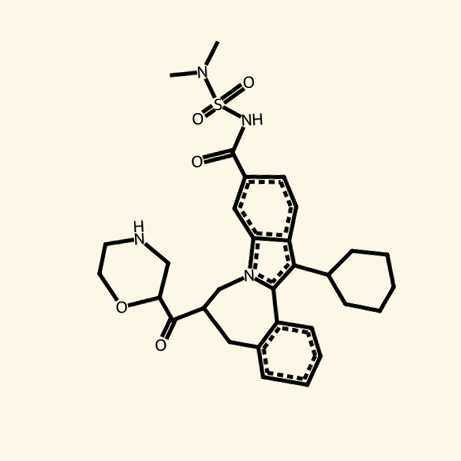 CN(C)S(=O)(=O)NC(=O)c1ccc2c(C3CCCCC3)c3n(c2c1)CC(C(=O)C1CNCCO1)Cc1ccccc1-3